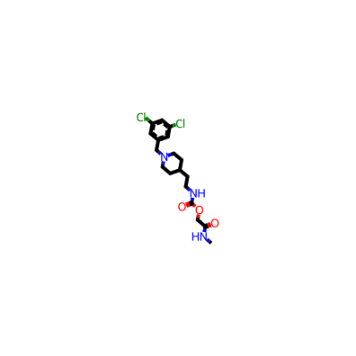 CNC(=O)COC(=O)NCCC1CCN(Cc2cc(Cl)cc(Cl)c2)CC1